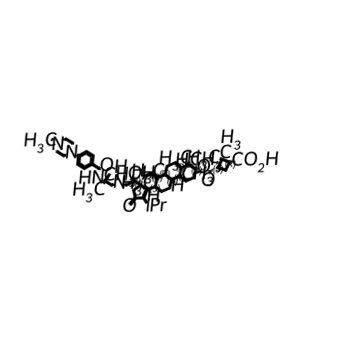 CC(C)C1=C2[C@H]3CC[C@@H]4[C@@]5(C)CC[C@H](OC(=O)[C@H]6C[C@@H](C(=O)O)C6(C)C)C(C)(C)[C@@H]5CC[C@@]4(C)[C@]3(C)CC[C@@]2([C@@H](O)CNCC(C)(C)NC(=O)c2ccc(N3CCN(C)CC3)cc2)CC1=O